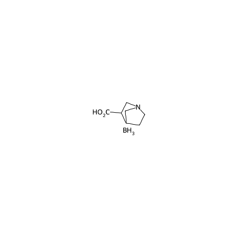 B.O=C(O)C1CN2CCC1C2